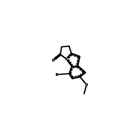 COc1cc(Br)c2c(c1)cc1n2C(=O)CC1